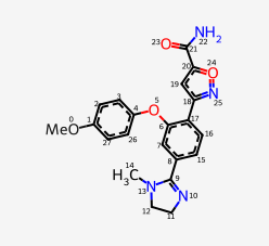 COc1ccc(Oc2cc(C3=NCCN3C)ccc2-c2cc(C(N)=O)on2)cc1